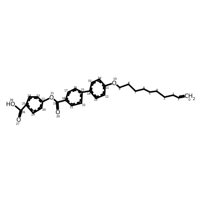 C=CCCCCCCCCOc1ccc(-c2ccc(C(=O)Oc3ccc(C(=O)O)cc3)cc2)cc1